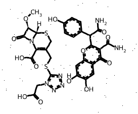 CO[C@@H]1C(=O)N2C(C(=O)O)=C(CSc3nnnn3CC(=O)O)CS[C@@H]12.NC(=O)c1c(C(C(N)=O)c2ccc(O)cc2)oc2cc(O)c(O)cc2c1=O